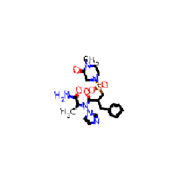 CC(C(N)=O)N(C(=O)C(Cc1ccccc1)CS(=O)(=O)N1CCN(C)C(=O)C1)n1ccnc1